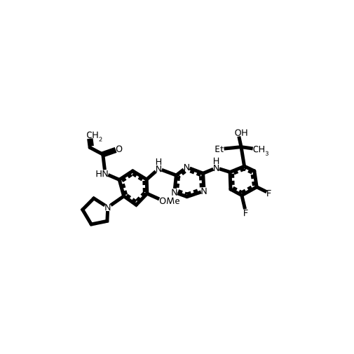 C=CC(=O)Nc1cc(Nc2ncnc(Nc3cc(F)c(F)cc3C(C)(O)CC)n2)c(OC)cc1N1CCCC1